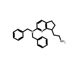 NCCC1CCc2ccc(N(Cc3ccccc3)Cc3ccccc3)nc21